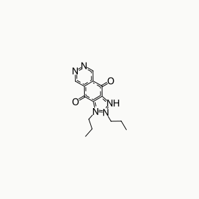 CCCn1[nH]c2c(=O)c3cnncc3c(=O)c=2n1CCC